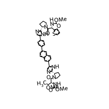 COC(=O)N[C@H](C(=O)N1CCC[C@H]1c1ncc(-c2ccc3cc(-c4ccc(-c5cnc([C@@H]6CCCN6C(=O)[C@H](NC(=O)OC)c6cccs6)[nH]5)cc4)ccc3c2)[nH]1)[C@@H](C)OC